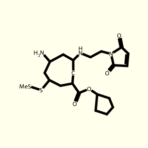 CSSC1CC(N)CC(NCCN2C(=O)C=CC2=O)CC(C(=O)OC2CCCC2)C1